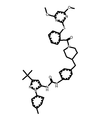 COc1cc(OC)nc(Sc2ccccc2C(=O)N2CCC(Cc3ccc(NC(=O)Nc4cc(C(C)(C)C)nn4-c4ccc(C)cc4)cc3)CC2)n1